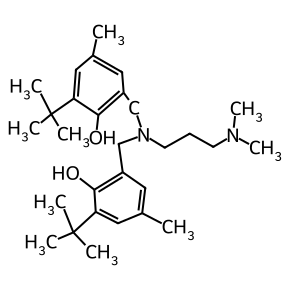 Cc1cc(CN(CCCN(C)C)Cc2cc(C)cc(C(C)(C)C)c2O)c(O)c(C(C)(C)C)c1